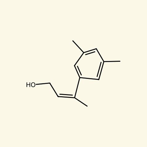 C/C(=C/CO)c1cc(C)cc(C)c1